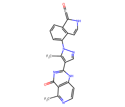 O=C=C1NC=Cc2c1cccc2-n1ncc(-c2nc(=O)c3c(C(F)(F)F)nccc3[nH]2)c1C(F)(F)F